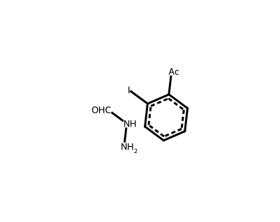 CC(=O)c1ccccc1I.NNC=O